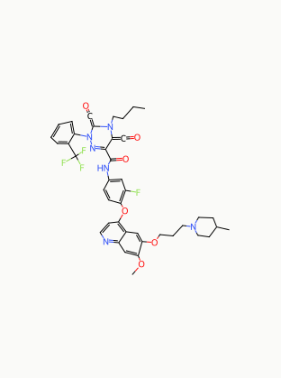 CCCCN1C(=C=O)C(C(=O)Nc2ccc(Oc3ccnc4cc(OC)c(OCCCN5CCC(C)CC5)cc34)c(F)c2)=NN(c2ccccc2C(F)(F)F)C1=C=O